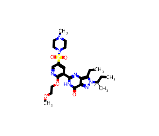 CCc1c2nc(-c3cc(S(=O)(=O)N4CCN(C)CC4)cnc3OCCOC)[nH]c(=O)c2nn1[C@@H](C)CC